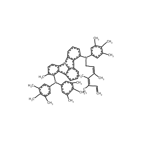 C=C/C(C)=C(C)\C(C)=C/CN(c1cc(C)c(C)c(C)c1)c1cccc2c1c1cccc3c4c(N(c5cc(C)c(C)c(C)c5)c5cc(C)c(C)c(C)c5)c(C)ccc4n2c13